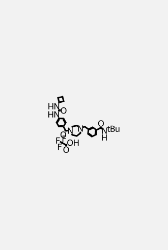 CC(C)(C)NC(=O)c1cccc(CN2CCCN(C(=O)c3ccc(NC(=O)NC4CCC4)cc3)CC2)c1.O=C(O)C(F)(F)F